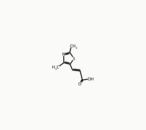 Cc1nc(C)c(/C=C/C(=O)O)s1